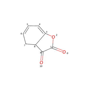 O=C1OC2=CC=CCC2C1=O